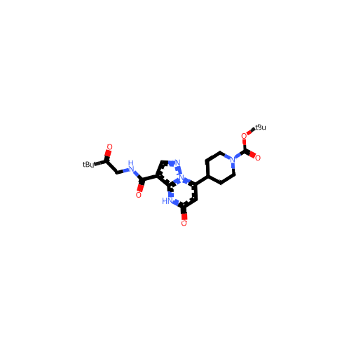 CC(C)(C)OC(=O)N1CCC(c2cc(=O)[nH]c3c(C(=O)NCC(=O)C(C)(C)C)cnn23)CC1